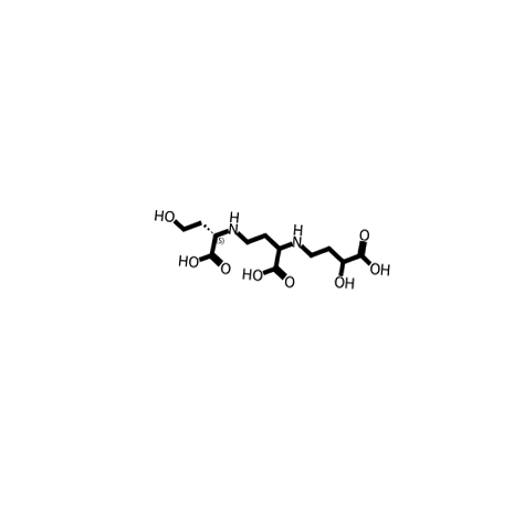 O=C(O)C(O)CCNC(CCN[C@@H](CCO)C(=O)O)C(=O)O